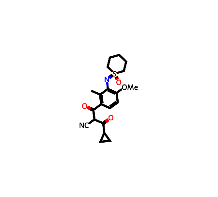 COc1ccc(C(=O)C(C#N)C(=O)C2CC2)c(C)c1N=S1(=O)CCCCC1